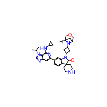 CC(C)n1cnc2cc(-c3ccc4c(c3)N(C3CC(N5C6COC[C@@H]5C6)C3)C(=O)C43CCNCC3)nc(NC3CC3)c21